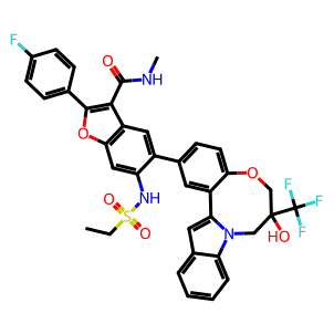 CCS(=O)(=O)Nc1cc2oc(-c3ccc(F)cc3)c(C(=O)NC)c2cc1-c1ccc2c(c1)-c1cc3ccccc3n1CC(O)(C(F)(F)F)CO2